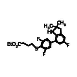 CCOC(=O)CCCSc1c(F)cc(-c2cc(F)cc3c2NC(C)(C)C3)cc1F